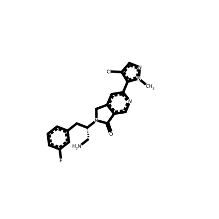 Cn1ncc(Cl)c1-c1cc2c(cn1)C(=O)N([C@H](CN)Cc1cccc(F)c1)C2